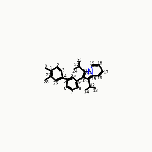 Cc1ccc(-c2cccc(-c3c(C(C)C)c4ccccn4c3C(C)C)c2)cc1C